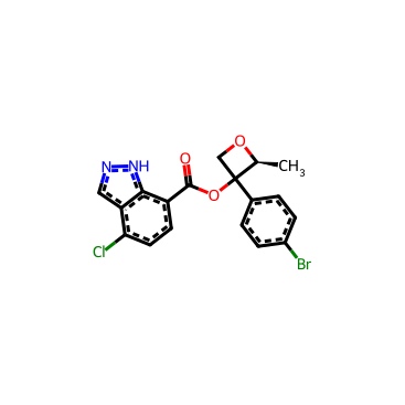 C[C@@H]1OCC1(OC(=O)c1ccc(Cl)c2cn[nH]c12)c1ccc(Br)cc1